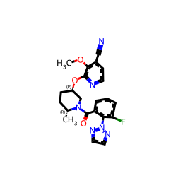 COc1c(C#N)ccnc1O[C@@H]1CC[C@@H](C)N(C(=O)c2cccc(F)c2-n2nccn2)C1